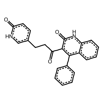 O=C(CCc1ccc(=O)[nH]c1)c1c(-c2ccccc2)c2ccccc2[nH]c1=O